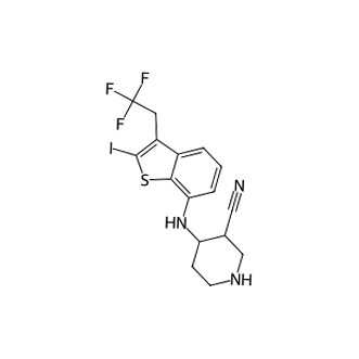 N#CC1CNCCC1Nc1cccc2c(CC(F)(F)F)c(I)sc12